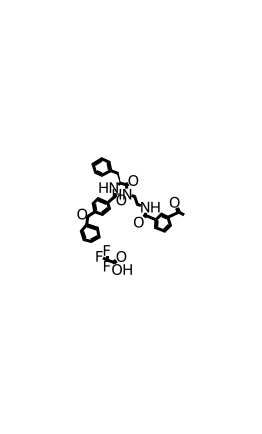 CC(=O)c1cccc(C(=O)NCCNC(=O)[C@H](Cc2ccccc2)NC(=O)c2ccc(C(=O)c3ccccc3)cc2)c1.O=C(O)C(F)(F)F